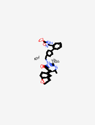 CCCCc1nc(C)c(-c2ccc3c(c2)CCO3)c(=O)n1Cc1ccc(-c2ccccc2-c2noc(=O)[nH]2)cc1.[KH]